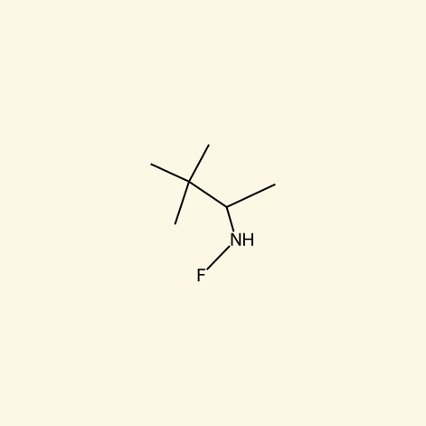 CC(NF)C(C)(C)C